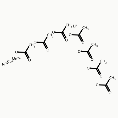 CC(=O)[O-].CC(=O)[O-].CC(=O)[O-].CC(=O)[O-].CC(=O)[O-].CC(=O)[O-].CC(=O)[O-].[Co+2].[Li+].[Mn+2].[Ni+2]